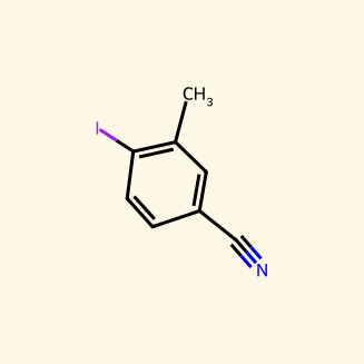 Cc1cc(C#N)ccc1I